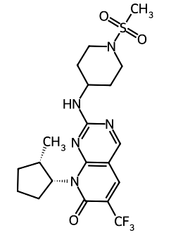 C[C@H]1CCC[C@H]1n1c(=O)c(C(F)(F)F)cc2cnc(NC3CCN(S(C)(=O)=O)CC3)nc21